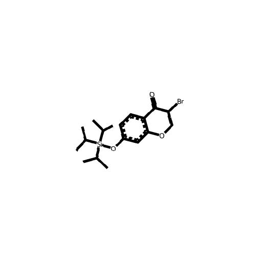 CC(C)[Si](Oc1ccc2c(c1)OCC(Br)C2=O)(C(C)C)C(C)C